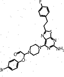 Nc1nc(N2CCN(C(C=O)Oc3ccc(Br)cc3)CC2)c2nc(CCc3ccc(F)cc3)sc2n1